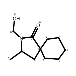 CC1CC2(CCCCC2)C(=O)N1CO